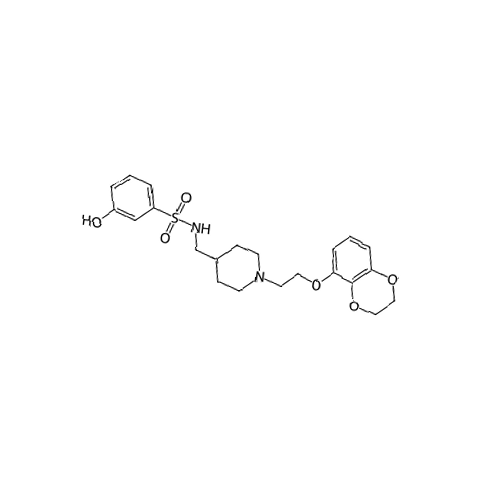 O=S(=O)(NCC1CCN(CCOc2cccc3c2OCCO3)CC1)c1cccc(O)c1